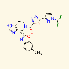 Cc1ccc2nc([C@@H]3c4nc[nH]c4CCN3C(=O)c3nnc(-c4ccn(C(F)F)n4)o3)oc2c1